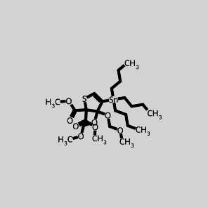 CCC[CH2][Sn]([CH2]CCC)([CH2]CCC)[C]1=CSC(C(=O)OC)(C(=O)OC)C1(OCOC)OCOC